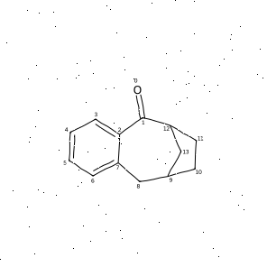 O=C1c2ccccc2CC2CCC1C2